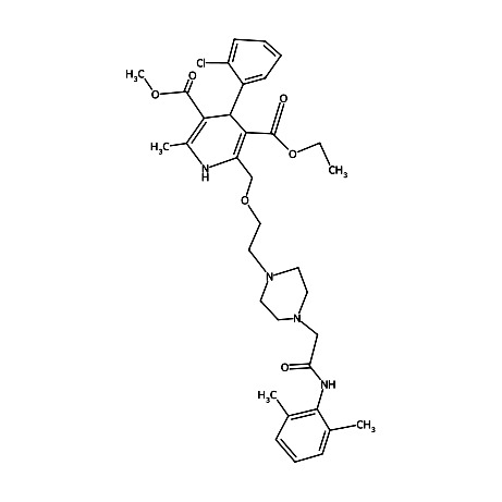 CCOC(=O)C1=C(COCCN2CCN(CC(=O)Nc3c(C)cccc3C)CC2)NC(C)=C(C(=O)OC)C1c1ccccc1Cl